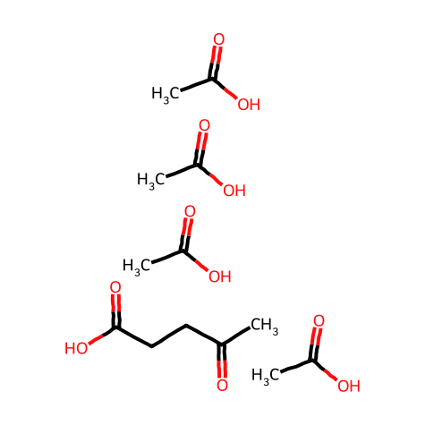 CC(=O)CCC(=O)O.CC(=O)O.CC(=O)O.CC(=O)O.CC(=O)O